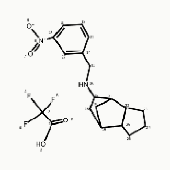 O=C(O)C(F)(F)F.O=[N+]([O-])c1cccc(CNC2CC3CC2C2CCCC32)c1